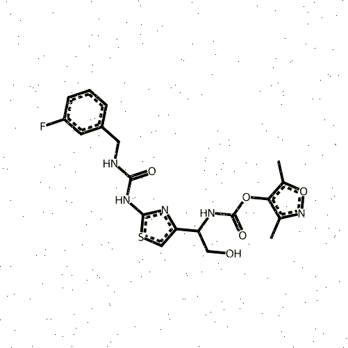 Cc1noc(C)c1OC(=O)NC(CO)c1csc(NC(=O)NCc2cccc(F)c2)n1